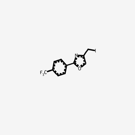 FC(F)(F)c1ccc(-c2nc(CI)co2)cc1